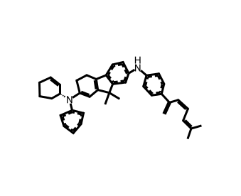 C=C(/C=C\C=C(C)C)c1ccc(Nc2ccc3c(c2)C(C)(C)C2=C3CCC(N(c3ccccc3)[C@H]3C=CCCC3)=C2)cc1